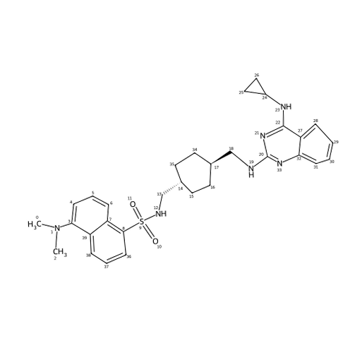 CN(C)c1cccc2c(S(=O)(=O)NC[C@H]3CC[C@H](CNc4nc(NC5CC5)c5ccccc5n4)CC3)cccc12